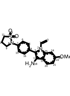 C=Cn1c(-c2ccc(N3CCCS3(=O)=O)cc2)c(N)c2ccc(OC)cc21